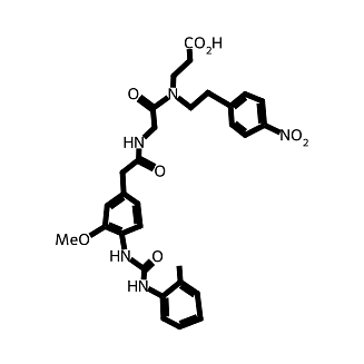 COc1cc(CC(=O)NCC(=O)N(CCC(=O)O)CCc2ccc([N+](=O)[O-])cc2)ccc1NC(=O)Nc1ccccc1C